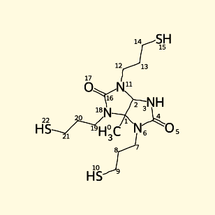 CC12C(NC(=O)N1CCCS)N(CCCS)C(=O)N2CCCS